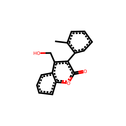 Cc1ccccc1-c1c(CO)c2ccccc2oc1=O